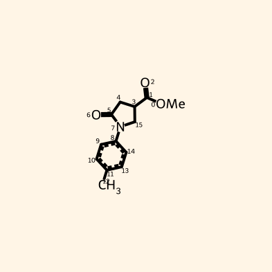 COC(=O)C1CC(=O)N(c2ccc(C)cc2)C1